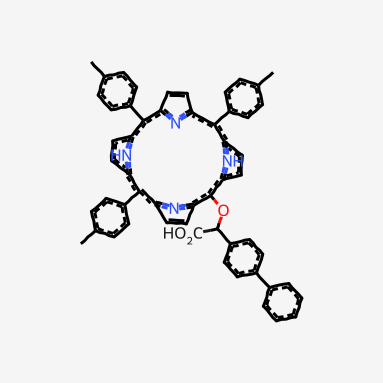 Cc1ccc(-c2c3nc(c(-c4ccc(C)cc4)c4ccc([nH]4)c(-c4ccc(C)cc4)c4nc(c(OC(C(=O)O)c5ccc(-c6ccccc6)cc5)c5ccc2[nH]5)C=C4)C=C3)cc1